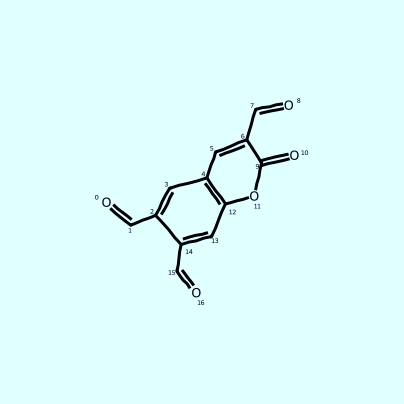 O=Cc1cc2cc(C=O)c(=O)oc2cc1C=O